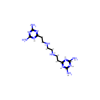 Nc1nc(N)nc(CCNCCNCCc2nc(N)nc(N)n2)n1